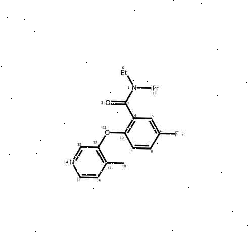 CCN(C(=O)c1cc(F)ccc1Oc1cnccc1C)C(C)C